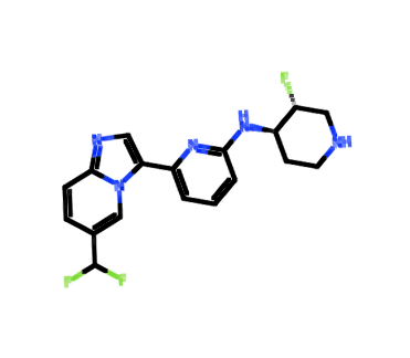 FC(F)c1ccc2ncc(-c3cccc(N[C@@H]4CCNC[C@H]4F)n3)n2c1